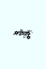 CC(C)C(NC(=O)Cn1c(-c2ccccc2)ccc(N)c1=O)C(=O)C(F)(F)C(=O)NCc1ccc(F)cc1